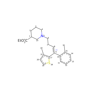 CCOC(=O)C1CCCN(CC/C=C(/c2ccccc2C)c2sccc2C)C1